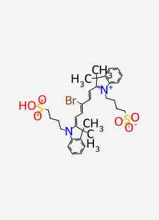 CC1(C)C(/C=C/C(Br)=C/C=C2/N(CCCCS(=O)(=O)O)c3ccccc3C2(C)C)=[N+](CCCCS(=O)(=O)[O-])c2ccccc21